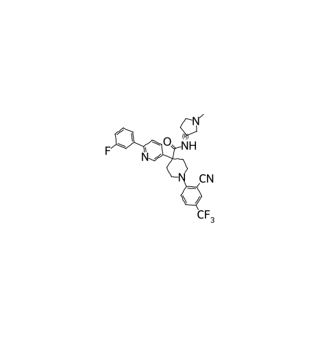 CN1CC[C@@H](NC(=O)C2(c3ccc(-c4cccc(F)c4)nc3)CCN(c3ccc(C(F)(F)F)cc3C#N)CC2)C1